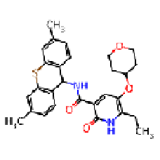 CCc1[nH]c(=O)c(C(=O)NC2c3ccc(C)cc3Sc3cc(C)ccc32)cc1OC1CCOCC1